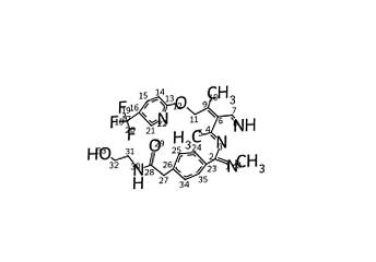 C\N=C(/N=C(C)/C(C=N)=C(/C)COc1ccc(C(F)(F)F)cn1)c1ccc(CC(=O)NCCO)cc1